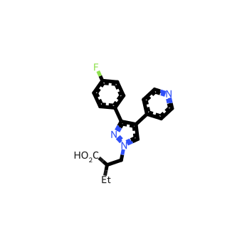 CCC(Cn1cc(-c2ccncc2)c(-c2ccc(F)cc2)n1)C(=O)O